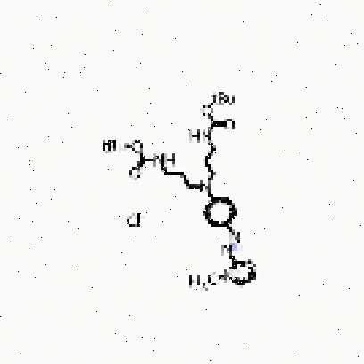 C[n+]1ccsc1/N=N/c1ccc(N(CCCNC(=O)OC(C)(C)C)CCCNC(=O)OC(C)(C)C)cc1.[Cl-]